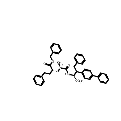 CN(C[C@H](CCc1ccccc1)C(=O)OCc1ccccc1)C(=O)N[C@H](C(=O)O)C(Cc1ccccc1)c1ccc(-c2ccccc2)cc1